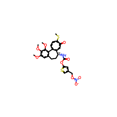 COc1cc2c(c(OC)c1OC)-c1ccc(SC)c(=O)cc1[C@@H](NC(=O)Oc1cc(CO[N+](=O)[O-])cs1)CC2